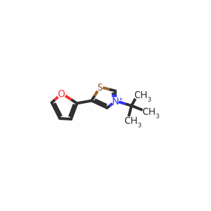 CC(C)(C)[n+]1csc(-c2ccco2)c1